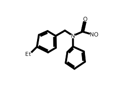 CCc1ccc(CN(C(=O)N=O)c2ccccc2)cc1